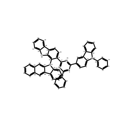 c1ccc(-c2nc(-c3ccc4c(c3)c3ccccc3n4-c3ccccc3)nc(-c3ccc4c(oc5ccccc54)c3-n3c4ccccc4c4cc5ccccc5cc43)n2)cc1